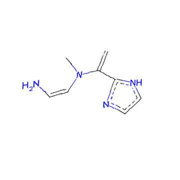 C=C(c1ncc[nH]1)N(C)/C=C\N